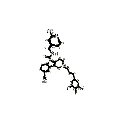 N#Cc1ccc2c(c1)c1c(n2C(=O)NCc2ccnc(Cl)c2)CCN(CC=Cc2cc(F)c(F)c(F)c2)C1